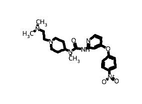 CN(C)CCN1CCC(N(C)C(=O)Nc2cc(Oc3ccc([N+](=O)[O-])cc3)ccn2)CC1